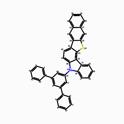 c1ccc(-c2cc(-c3ccccc3)cc(-n3c4ccccc4c4c5sc6cc7ccccc7cc6c5ccc43)c2)cc1